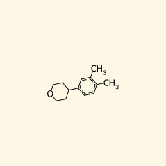 Cc1ccc(C2CCOCC2)cc1C